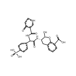 O=C(O)c1cccc2c1OB(O)[C@@H](NC(=O)C(NC(=O)c1c[nH]ccc1=O)c1ccc(P(=O)(O)O)cc1)C2